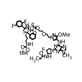 C=CC(=O)N[C@@H]1CN(c2nc(Nc3cn(CCOCCON(C)C(=O)N4N=C(c5cc(F)ccc5F)S[C@@]4(CCCNC(=O)OC(C)(C)C)c4ccccc4)nc3OC)c3ncn(C)c3n2)C[C@H]1F